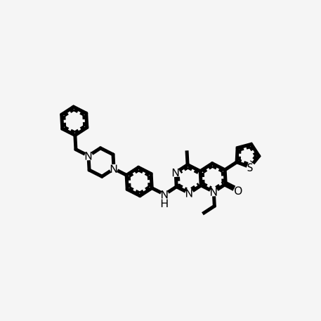 CCn1c(=O)c(-c2cccs2)cc2c(C)nc(Nc3ccc(N4CCN(Cc5ccccc5)CC4)cc3)nc21